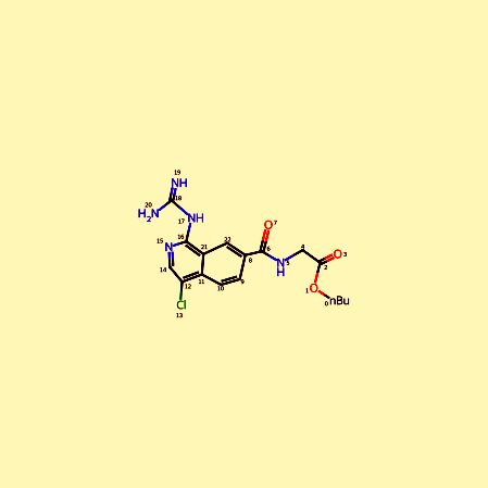 CCCCOC(=O)CNC(=O)c1ccc2c(Cl)cnc(NC(=N)N)c2c1